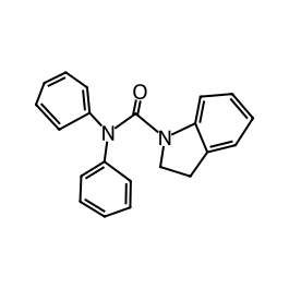 O=C(N1CCc2ccccc21)N(c1ccccc1)c1ccccc1